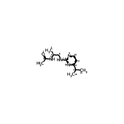 CC(=O)N[C@@H](C)CNc1nccc(C(C)C)n1